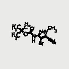 Cn1nc(NC(=O)OC(C)(C)C)c(Br)c1C#N